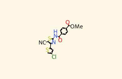 COC(=O)c1ccc(C(=O)Nc2nc(-c3cc(Cl)cs3)c(C#N)s2)cc1